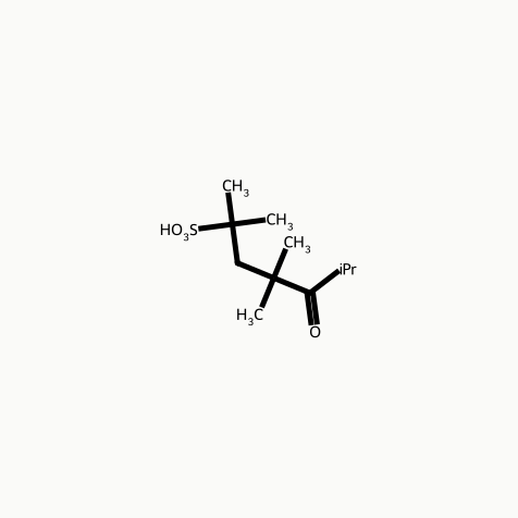 CC(C)C(=O)C(C)(C)CC(C)(C)S(=O)(=O)O